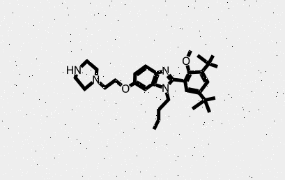 CCCCn1c(-c2cc(C(C)(C)C)cc(C(C)(C)C)c2OC)nc2ccc(OCCN3CCNCC3)cc21